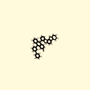 Cc1ccc2c(-c3cccc4c3Cc3ccc5c(c3-4)CC3=C5CCC=C3)c3ccccc3c(-c3cccc(-c4ccccc4)c3)c2c1